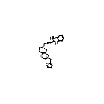 C(#Cc1nc2ccccc2[nH]1)CN1CCC2=C(CN(Cc3ccco3)C=N2)C1